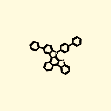 c1ccc(-c2ccc(-n3c4ccc(-c5ccccc5)cc4c4c5ccccc5c5c6ccccc6sc5c43)cc2)cc1